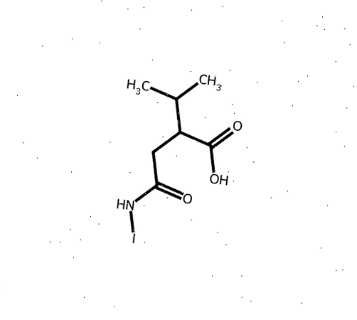 CC(C)C(CC(=O)NI)C(=O)O